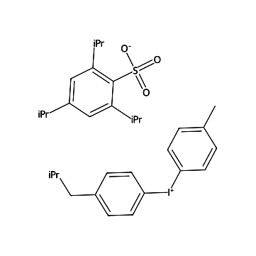 CC(C)c1cc(C(C)C)c(S(=O)(=O)[O-])c(C(C)C)c1.Cc1ccc([I+]c2ccc(CC(C)C)cc2)cc1